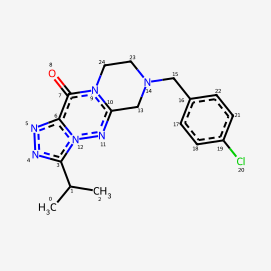 CC(C)c1nnc2c(=O)n3c(nn12)CN(Cc1ccc(Cl)cc1)CC3